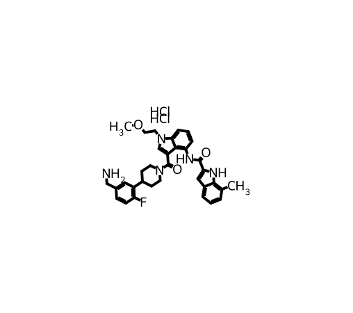 COCCn1cc(C(=O)N2CCC(c3cc(CN)ccc3F)CC2)c2c(NC(=O)c3cc4cccc(C)c4[nH]3)cccc21.Cl.Cl